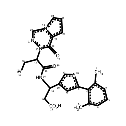 Cc1cccc(C)c1-c1cc(C(CC(=O)O)NC(=O)C(CC(C)C)n2ncn3cccc3c2=O)cs1